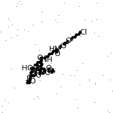 Cc1cc(C(=O)NCCCCCC(=O)NCCOCCOCCCCCCCl)ccc1C1(OCO)c2ccc(OC(=O)C(C)(C)C)cc2Oc2cc(OC(=O)C(C)(C)C)ccc21